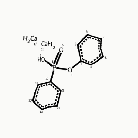 O=P(O)(Oc1ccccc1)c1ccccc1.[CaH2].[CaH2]